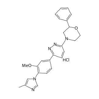 COc1cc(-c2ccc(N3CCOC(c4ccccc4)C3)nn2)ccc1-n1cnc(C)c1.Cl